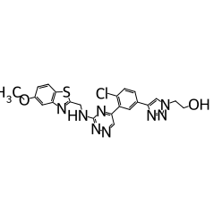 COc1ccc2sc(CNc3nncc(-c4cc(-c5cn(CCO)nn5)ccc4Cl)n3)nc2c1